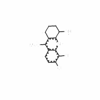 COc1c2c(nc3c(Cl)c(Cl)ccc13)C(O)CCC2